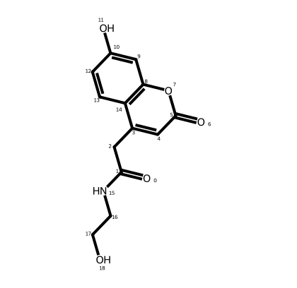 O=C(Cc1cc(=O)oc2cc(O)ccc12)NCCO